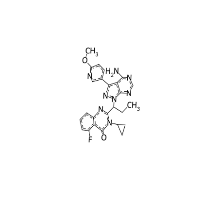 CCC(c1nc2cccc(F)c2c(=O)n1C1CC1)n1nc(-c2ccc(OC)nc2)c2c(N)ncnc21